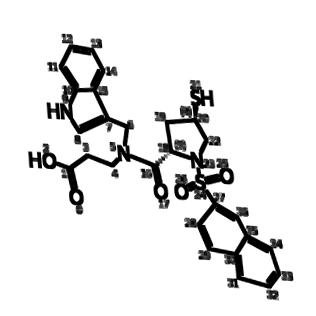 O=C(O)CCN(Cc1c[nH]c2ccccc12)C(=O)[C@@H]1C[C@@H](S)CN1S(=O)(=O)c1ccc2ccccc2c1